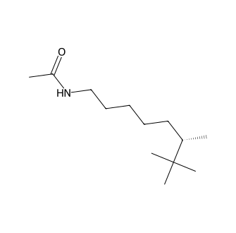 CC(=O)NCCCCC[C@H](C)C(C)(C)C